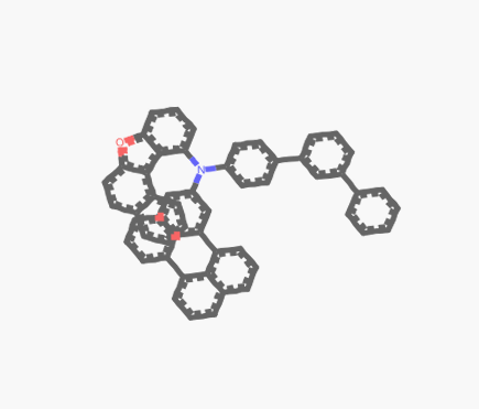 c1ccc(-c2cccc(-c3ccc(N(c4cccc(-c5cccc6cccc(-c7ccccc7)c56)c4)c4cccc5oc6ccc7ccccc7c6c45)cc3)c2)cc1